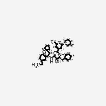 CCc1ccc2c(c1)[C@@H](NC[C@@H](O)[C@H](Cc1ccccc1)NC(=O)c1cc(Cl)nc(N3CCC[C@@H](F)C3)c1)CC1(CCCC1)O2